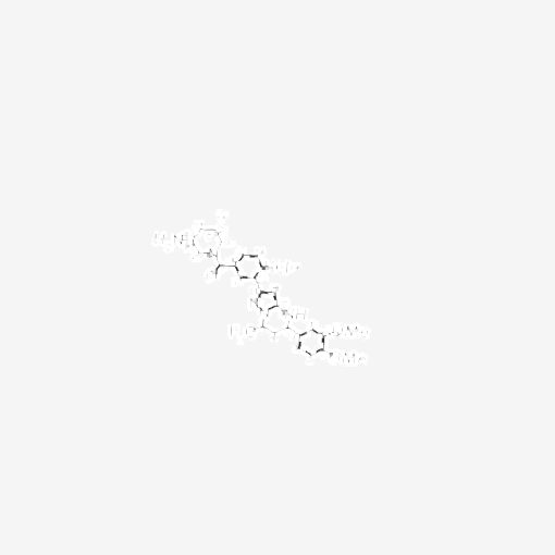 COc1ccc(C2CC(C(F)(F)F)n3nc(-c4cccc(C(=O)N5C[C@@H](C)C[C@@H](N)C5)c4)cc3N2)cc1OC.Cl